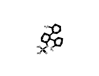 Cc1ccccc1-c1cccc(OP(=O)(O)O)c1-c1ccccc1C